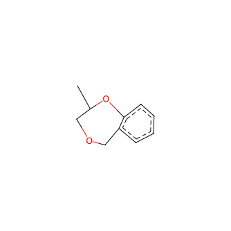 CC1COCc2ccccc2O1